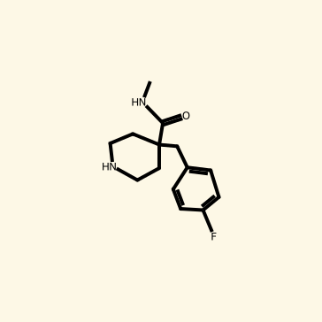 CNC(=O)C1(Cc2ccc(F)cc2)CCNCC1